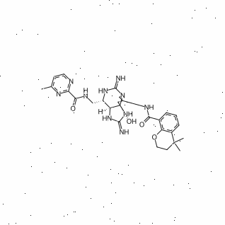 Cc1ccnc(C(=O)NC[C@@H]2NC(=N)N3CC(NC(=O)c4cccc5c4OCCC5(C)C)[C@@H](O)C34NC(=N)N[C@@H]24)n1